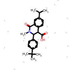 CC(C)c1ccc2c(c1)C(=O)N(C)C(c1ccc(C(C)(C)C)cc1)C2C(=O)O